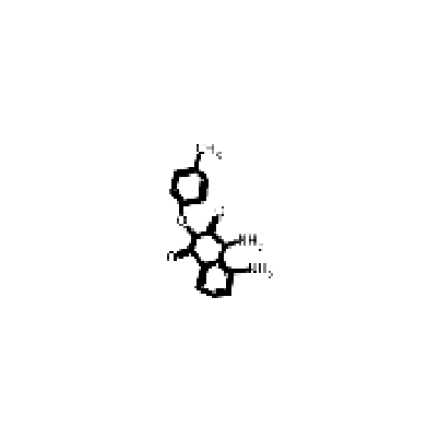 Cc1ccc(OC2C(=O)c3cccc(N)c3C(N)C2=O)cc1